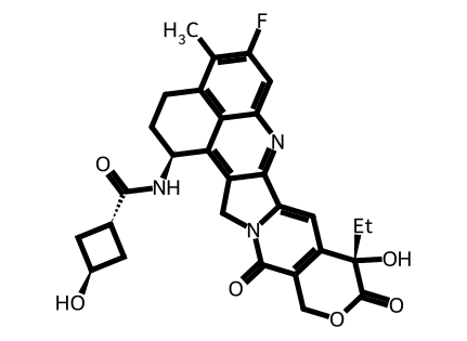 CC[C@@]1(O)C(=O)OCc2c1cc1n(c2=O)Cc2c-1nc1cc(F)c(C)c3c1c2[C@@H](NC(=O)[C@H]1C[C@H](O)C1)CC3